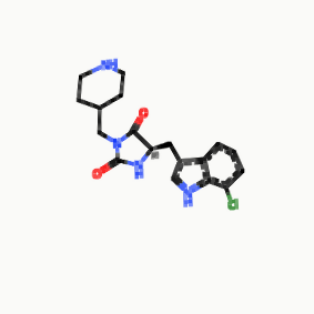 O=C1N[C@H](Cc2c[nH]c3c(Cl)cccc23)C(=O)N1CC1CCNCC1